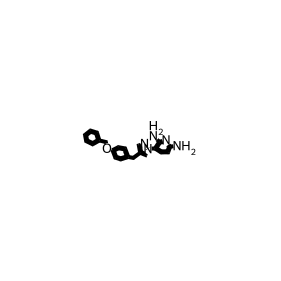 Nc1ccc(-n2cc(Cc3ccc(OCc4ccccc4)cc3)cn2)c(N)n1